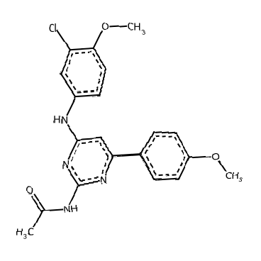 COc1ccc(-c2cc(Nc3ccc(OC)c(Cl)c3)nc(NC(C)=O)n2)cc1